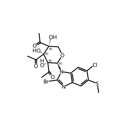 CSc1cc2nc(Br)n([C@@H]3OC[C@](O)(C(C)=O)[C@](O)(C(C)=O)[C@]3(O)C(C)=O)c2cc1Cl